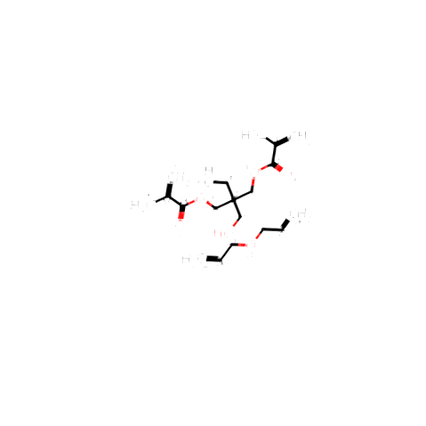 C=C(C)C(=O)OCC(CC)(CO)COC(=O)C(=C)C.C=CCOCC=C